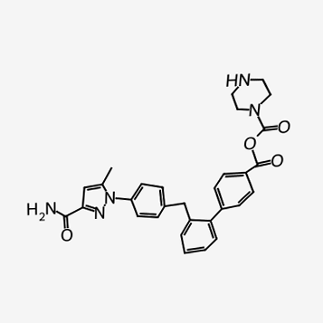 Cc1cc(C(N)=O)nn1-c1ccc(Cc2ccccc2-c2ccc(C(=O)OC(=O)N3CCNCC3)cc2)cc1